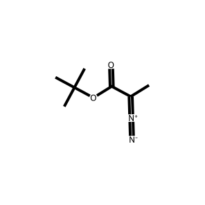 CC(=[N+]=[N-])C(=O)OC(C)(C)C